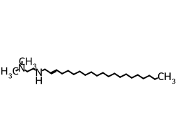 CCCCCCCCCCCCCCCCCCC=CCNCCN(C)C